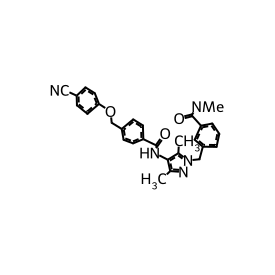 CNC(=O)c1cccc(Cn2nc(C)c(NC(=O)c3ccc(COc4ccc(C#N)cc4)cc3)c2C)c1